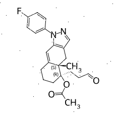 CC(=O)O[C@@]1(CCC=O)CCCC2=Cc3c(cnn3-c3ccc(F)cc3)C[C@@]21C